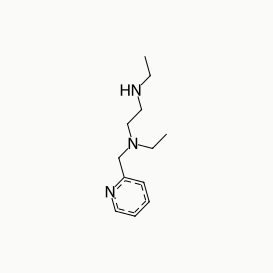 CCNCCN(CC)Cc1ccccn1